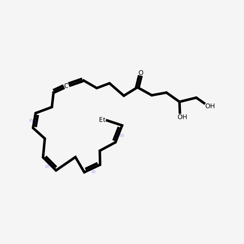 CC/C=C\C/C=C\C/C=C\C/C=C\CC=C=CCCCC(=O)CCC(O)CO